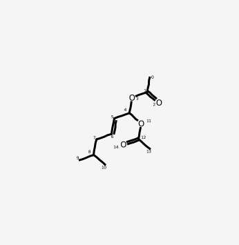 CC(=O)OC(C=CCC(C)C)OC(C)=O